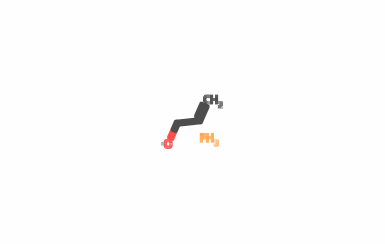 C=CC[O].P